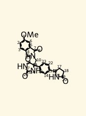 COc1ccc2c(c1)C(=O)N(C[C@@]1(c3ccc([C@H]4CCC(=O)N4)cc3)NC(=O)NC1=O)C2